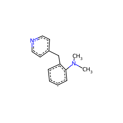 CN(C)c1c[c]ccc1Cc1ccncc1